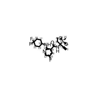 C#CC(CC)(NC(=O)c1cc(F)cnc1NC1CCC(F)(F)CC1)S(C)(=O)=O